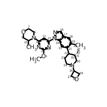 COc1nc(N2CCOCC2C)cc(-n2ncc3cc(C)c(C4CCN(C5COC5)C[C@H]4F)cc32)n1